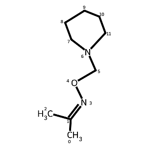 CC(C)=NOCN1CCCCC1